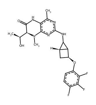 Cc1nc(NC2C3[C@@H]2C[C@@H]3Oc2ccc(F)c(F)c2F)nc2c1NC(=O)[C@H]([C@H](C)O)N2C